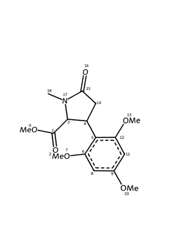 COC(=O)C1C(c2c(OC)cc(OC)cc2OC)CC(=O)N1C